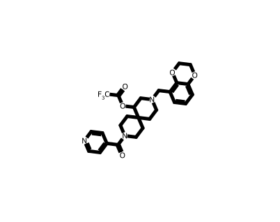 O=C(c1ccncc1)N1CCC2(CCN(Cc3cccc4c3OCCO4)CC2OC(=O)C(F)(F)F)CC1